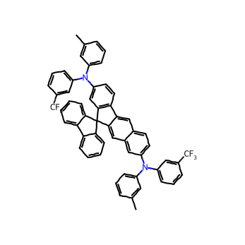 Cc1cccc(N(c2cccc(C(F)(F)F)c2)c2ccc3c(c2)C2(c4ccccc4-c4ccccc42)c2cc4cc(N(c5cccc(C)c5)c5cccc(C(F)(F)F)c5)ccc4cc2-3)c1